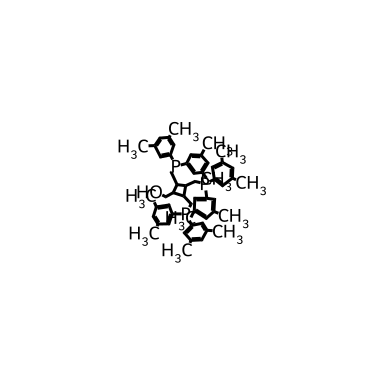 Cc1cc(C)cc(P(CC2C(CO)C(CP(c3cc(C)cc(C)c3)c3cc(C)cc(C)c3)C2CP(c2cc(C)cc(C)c2)c2cc(C)cc(C)c2)c2cc(C)cc(C)c2)c1